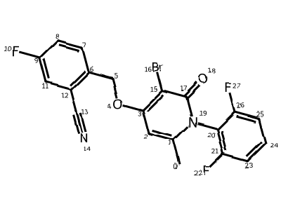 Cc1cc(OCc2ccc(F)cc2C#N)c(Br)c(=O)n1-c1c(F)cccc1F